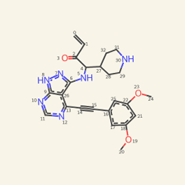 C=CC(=O)C(Nc1n[nH]c2ncnc(C#Cc3cc(OC)cc(OC)c3)c12)C1CCNCC1